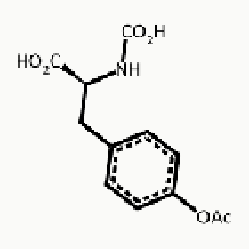 CC(=O)Oc1ccc(C[C@H](NC(=O)O)C(=O)O)cc1